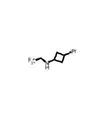 CC(C)C1CC(NCC(F)(F)F)C1